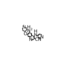 CN1CCC(Oc2cc3ncc(C#N)c(Nc4ccncc4)c3cc2N)CC1